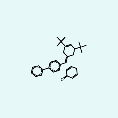 CC(C)(C)C1=CC(C(C)(C)C)CC(=Cc2ccc(-c3ccccc3)cc2)C1.O=C1C=CCC=C1